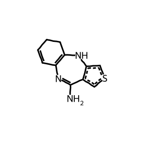 NC1=NC2=C(CCC=C2)Nc2cscc21